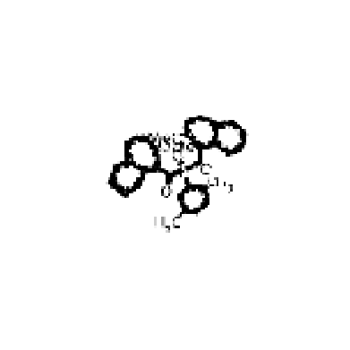 COc1ccc2ccccc2c1C(=O)P(=O)(C(=O)c1c(OC)ccc2ccccc12)c1cc(C)ccc1C